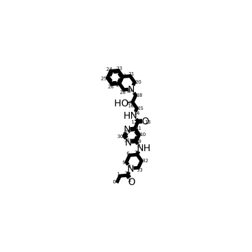 CCC(=O)N1CCC(Nc2cc(C(=O)NC[C@H](O)CN3CCc4ccccc4C3)ncn2)CC1